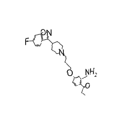 CCC(=O)c1ccc(OCCCN2CCC(c3noc4cc(F)ccc34)CC2)cc1CN